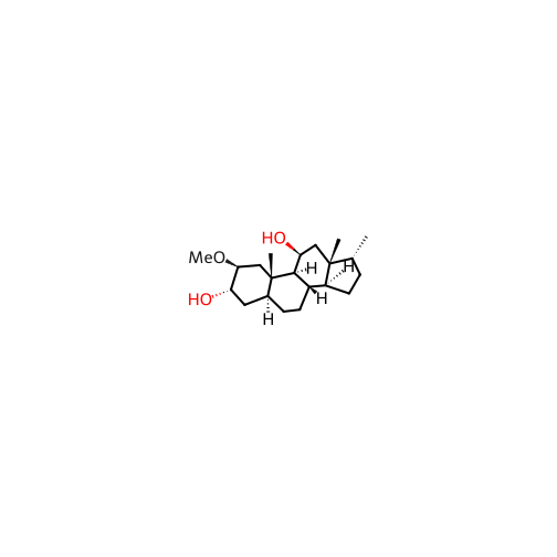 CO[C@H]1C[C@@]2(C)[C@@H](CC[C@@H]3[C@@H]2[C@@H](O)C[C@]2(C)[C@H](C)CC[C@@H]32)C[C@@H]1O